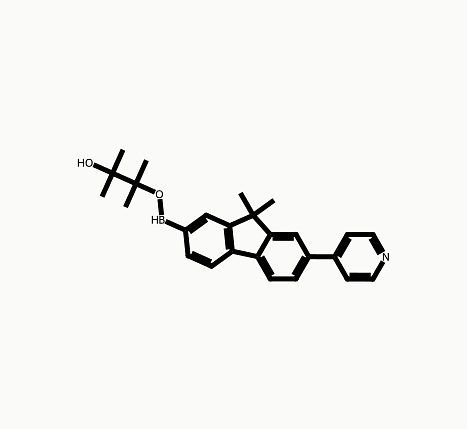 CC1(C)c2cc(BOC(C)(C)C(C)(C)O)ccc2-c2ccc(-c3ccncc3)cc21